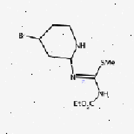 CCOC(=O)N/C(=N/C1CC(Br)CCN1)SC